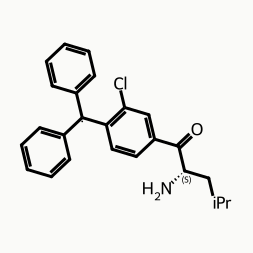 CC(C)C[C@H](N)C(=O)c1ccc([C](c2ccccc2)c2ccccc2)c(Cl)c1